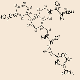 Cc1noc([C@H]2C[C@H]2C(=O)NCc2ccc(-c3cccc(C(=O)O)c3)c3c2CN(C(=O)NC(C)(C)C)CC3)n1